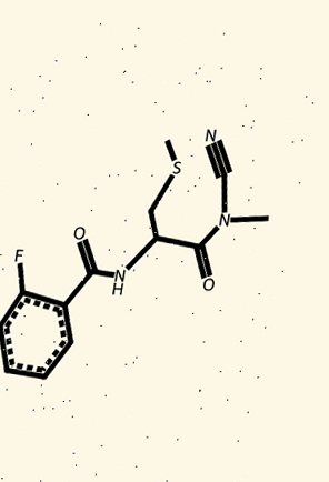 CSCC(NC(=O)c1ccccc1F)C(=O)N(C)C#N